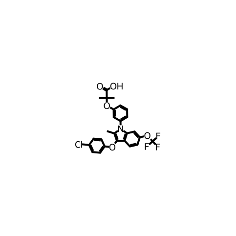 Cc1c(Oc2ccc(Cl)cc2)c2ccc(OC(F)(F)F)cc2n1-c1cccc(OC(C)(C)C(=O)O)c1